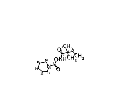 CCC(C)(C)C(=O)NOC(=O)N1CCCCC1